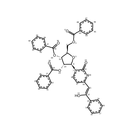 O=C(OC[C@H]1O[C@@H](n2ccc(/C=C(\O)c3ccccc3)nc2=O)[C@H](OC(=O)c2ccccc2)[C@@H]1OC(=O)c1ccccc1)c1ccccc1